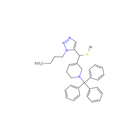 CCOC(=O)CCCn1nncc1C(SC(C)=O)C1=CCCN(C(c2ccccc2)(c2ccccc2)c2ccccc2)C1